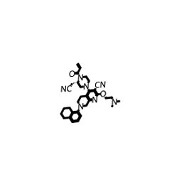 C=CC(=O)N1CCN(c2c(C#N)c(OCCN(C)C)nc3c2CCN(c2cccc4c2CCCC4)C3)C[C@@H]1CC#N